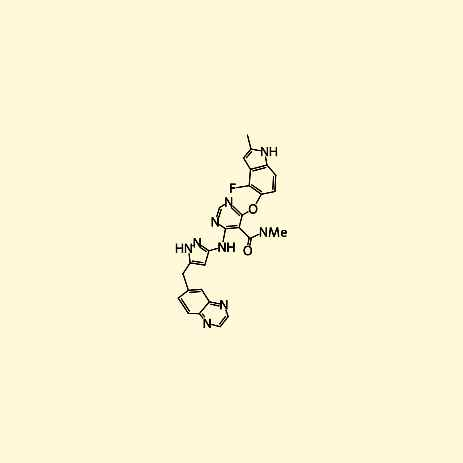 CNC(=O)c1c(Nc2cc(Cc3ccc4nccnc4c3)[nH]n2)ncnc1Oc1ccc2[nH]c(C)cc2c1F